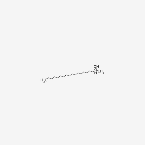 CCCCCCCCCCCCCCCCC[SiH](C)O